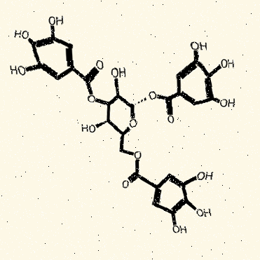 O=C(OCC1O[C@@H](OC(=O)c2cc(O)c(O)c(O)c2)C(O)C(OC(=O)c2cc(O)c(O)c(O)c2)[C@@H]1O)c1cc(O)c(O)c(O)c1